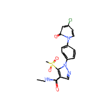 CCNC(=O)c1cnn(-c2ccc(-n3ccc(Cl)cc3=O)cc2)c1S(C)(=O)=O